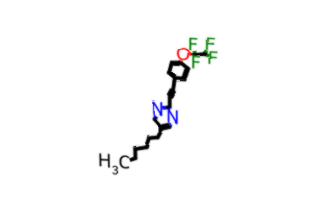 CCCCCCc1cnc(C#Cc2ccc(OC(F)(F)C(F)F)cc2)nc1